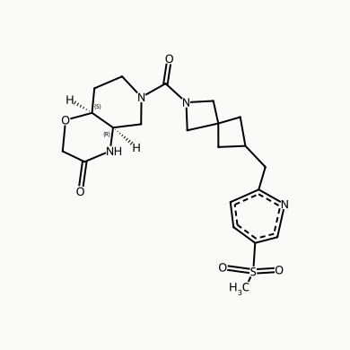 CS(=O)(=O)c1ccc(CC2CC3(C2)CN(C(=O)N2CC[C@@H]4OCC(=O)N[C@@H]4C2)C3)nc1